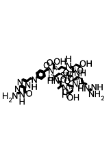 CC(NC(=O)[C@H](CC(=O)O)NC(=O)[C@H](CCCNC(=N)N)NC(=O)[C@H](CC(=O)O)NC(=O)CC[C@H](NC(=O)c1ccc(NCc2cnc3nc(N)[nH]c(=O)c3n2)cc1)C(=O)O)C(=O)N[C@H](C)CS